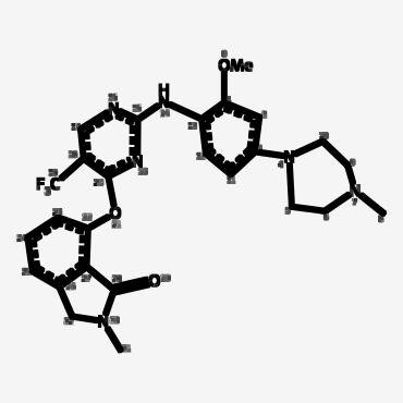 COc1cc(N2CCN(C)CC2)ccc1Nc1ncc(C(F)(F)F)c(Oc2cccc3c2C(=O)N(C)C3)n1